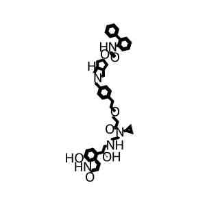 O=C(Nc1ccccc1-c1ccccc1)OC1CC2CN(Cc3ccc(CCOCCC(=O)N(CCNC[C@H](O)c4ccc(O)c5[nH]c(=O)ccc45)C4CC4)cc3)C[C@@H]2C1